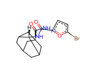 NC(=O)[C@]12CC3CC(C1)[C@@H](NC(=O)c1ccc(Br)o1)C(C3)C2